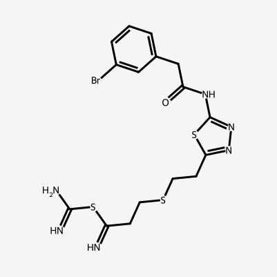 N=C(N)SC(=N)CCSCCc1nnc(NC(=O)Cc2cccc(Br)c2)s1